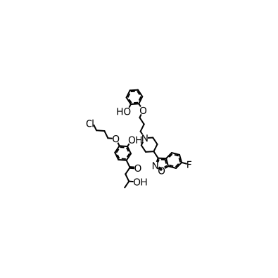 CC(O)CC(=O)c1ccc(OCCCCl)c(O)c1.Oc1ccccc1OCCCN1CCC(c2noc3cc(F)ccc23)CC1